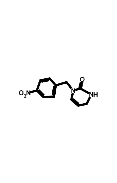 O=C1NCC=CN1Cc1ccc([N+](=O)[O-])cc1